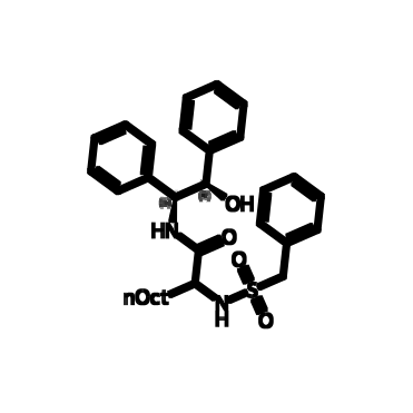 CCCCCCCCC(NS(=O)(=O)Cc1ccccc1)C(=O)N[C@@H](c1ccccc1)[C@H](O)c1ccccc1